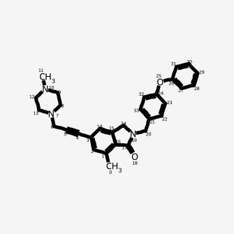 Cc1cc(C#CCN2CCN(C)CC2)cc2c1C(=O)N(Cc1ccc(Oc3ccccc3)cc1)C2